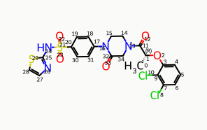 C[C@@H](Oc1cccc(Cl)c1Cl)C(=O)N1CCN(c2ccc(S(=O)(=O)Nc3nccs3)cc2)C(=O)C1